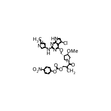 C=C(COC(=O)Oc1ccc([N+](=O)[O-])cc1)C(=O)N1C[C@H](COc2nc(Nc3cnn(C)c3)nc3[nH]cc(Cl)c23)[C@@H](OC)C1